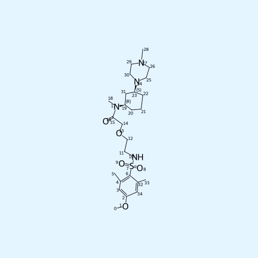 COc1cc(C)c(S(=O)(=O)NCCOCC(=O)N(C)[C@@H]2CCC[C@H](N3CCN(C)CC3)C2)c(C)c1